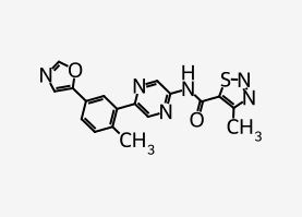 Cc1ccc(-c2cnco2)cc1-c1cnc(NC(=O)c2snnc2C)cn1